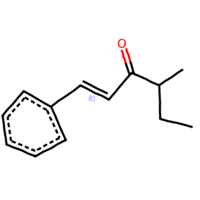 CCC(C)C(=O)/C=C/c1ccccc1